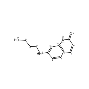 O=c1ccc2ccc(NCCCO)cc2[nH]1